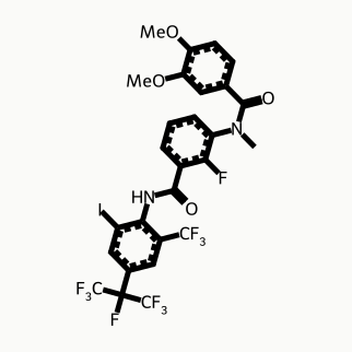 COc1ccc(C(=O)N(C)c2cccc(C(=O)Nc3c(I)cc(C(F)(C(F)(F)F)C(F)(F)F)cc3C(F)(F)F)c2F)cc1OC